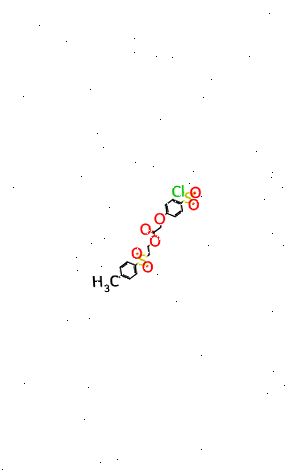 Cc1ccc(S(=O)(=O)CCOC(=O)COc2ccc(S(=O)(=O)Cl)cc2)cc1